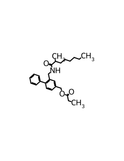 CCCCCCC(C)C(=O)NCc1cc(COC(=O)CC)ccc1-c1ccccc1